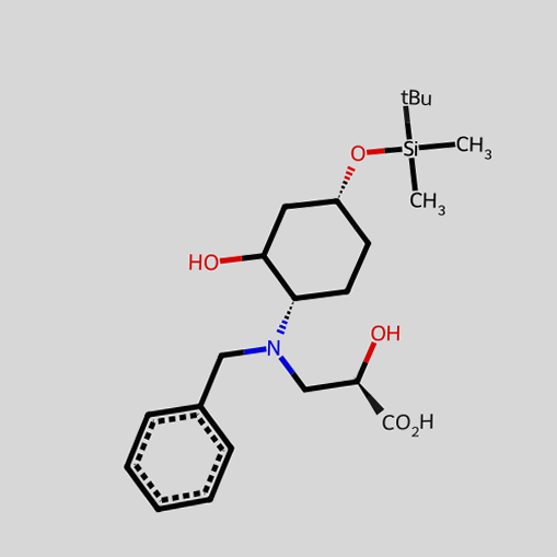 CC(C)(C)[Si](C)(C)O[C@@H]1CC[C@H](N(Cc2ccccc2)C[C@@H](O)C(=O)O)C(O)C1